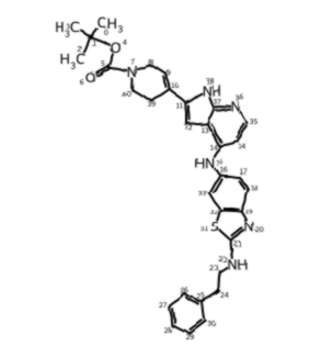 CC(C)(C)OC(=O)N1CC=C(c2cc3c(Nc4ccc5nc(NCCc6ccccc6)sc5c4)ccnc3[nH]2)CC1